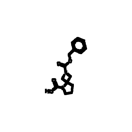 O=C(OCc1ccccc1)N1CC2(CCCN2C(=O)O)C1